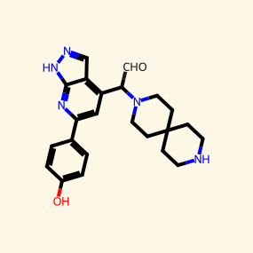 O=CC(c1cc(-c2ccc(O)cc2)nc2[nH]ncc12)N1CCC2(CCNCC2)CC1